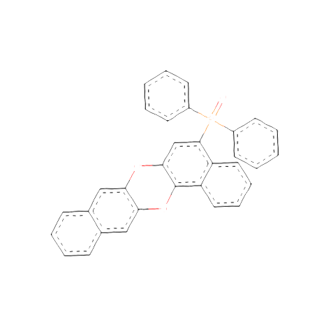 O=P(c1ccccc1)(c1ccccc1)c1cc2c(c3ccccc13)Oc1cc3ccccc3cc1O2